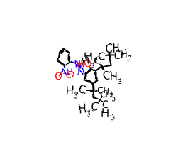 CC(C)(C)CC(C)(C)c1cc(/N=N/c2ccccc2[N+](=O)[O-])c(O)c(C(C)(C)CC(C)(C)C)c1